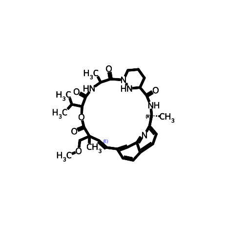 COCC1(C)/C=C/c2ccc3ccc(nc3c2)[C@@H](C)NC(=O)C2CCCN(N2)C(=O)C(C)NC(=O)C(C(C)C)OC1=O